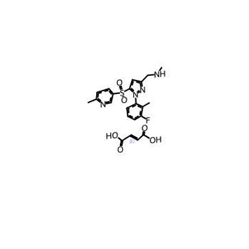 CNCc1cc(S(=O)(=O)c2ccc(C)nc2)n(-c2cccc(F)c2C)n1.O=C(O)/C=C/C(=O)O